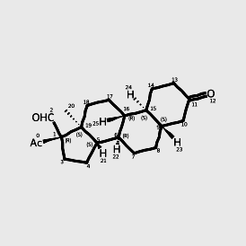 CC(=O)[C@]1(C=O)CC[C@H]2[C@@H]3CC[C@H]4CC(=O)CC[C@@H]4[C@H]3CC[C@@]21C